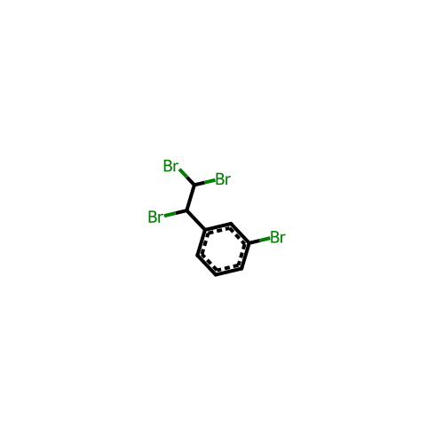 Brc1cccc(C(Br)C(Br)Br)c1